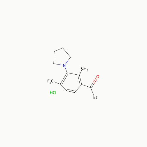 CCC(=O)c1ccc(C(F)(F)F)c(N2CCCC2)c1C.Cl